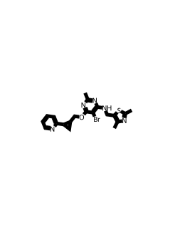 Cc1nc(NCc2sc(C)nc2C)c(Br)c(OCC2CC2c2ccccn2)n1